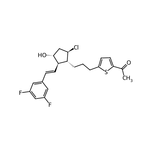 CC(=O)c1ccc(CCC[C@@H]2[C@@H](/C=C/c3cc(F)cc(F)c3)[C@H](O)C[C@H]2Cl)s1